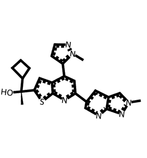 Cn1cc2cc(-c3cc(-c4ccnn4C)c4cc([C@](C)(O)C5CCC5)sc4n3)cnc2n1